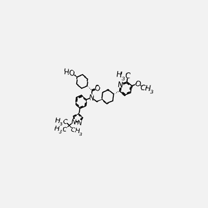 COc1ccc([C@H]2CC[C@H](CN(c3cccc(-c4cnn(C(C)(C)C)c4)c3)C(=O)[C@H]3CC[C@H](O)CC3)CC2)nc1C